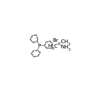 CC(C)(N)Br.c1ccc(P(c2ccccc2)c2ccccc2)cc1